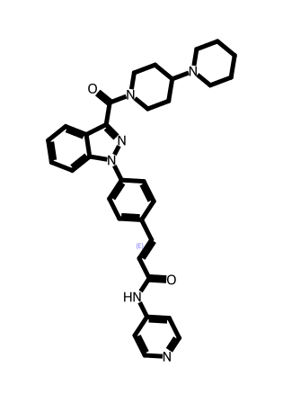 O=C(/C=C/c1ccc(-n2nc(C(=O)N3CCC(N4CCCCC4)CC3)c3ccccc32)cc1)Nc1ccncc1